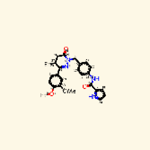 CCOc1ccc(C2=NN(Cc3ccc(NC(=O)c4ccc[nH]4)cc3)C(=O)CC2CC)cc1OC